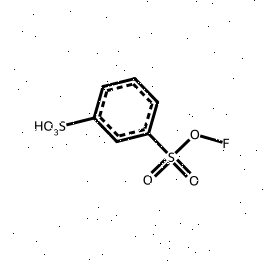 O=S(=O)(O)c1cccc(S(=O)(=O)OF)c1